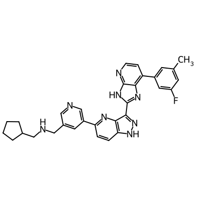 Cc1cc(F)cc(-c2ccnc3[nH]c(-c4n[nH]c5ccc(-c6cncc(CNCC7CCCC7)c6)nc45)nc23)c1